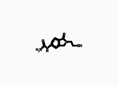 NC(=O)Nc1ccc2c(c1)CN(CCO)C2=O